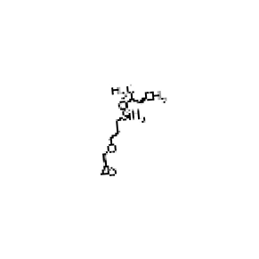 C=CC(C)O[SiH2]CCCOCC1CO1